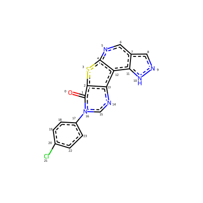 O=c1c2sc3ncc4cn[nH]c4c3c2ncn1-c1ccc(Cl)cc1